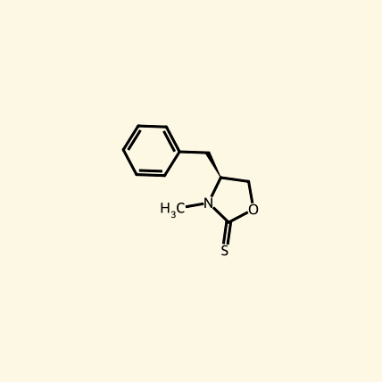 CN1C(=S)OC[C@@H]1Cc1ccccc1